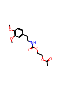 COc1ccc(CCNC(=O)OCCOC(C)=O)cc1OC